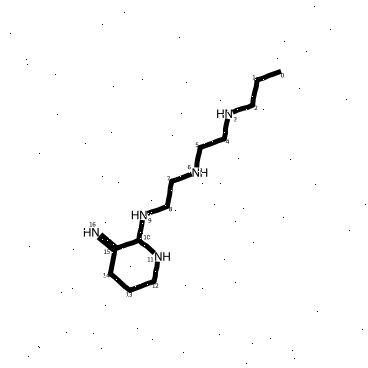 CCCNCCNCCNC1NCCCC1=N